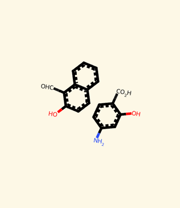 Nc1ccc(C(=O)O)c(O)c1.O=Cc1c(O)ccc2ccccc12